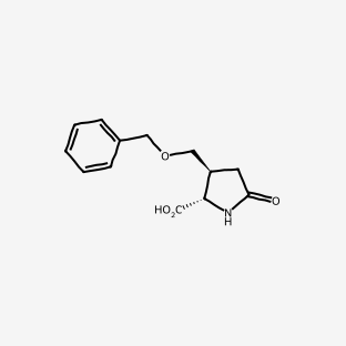 O=C1C[C@H](COCc2ccccc2)[C@@H](C(=O)O)N1